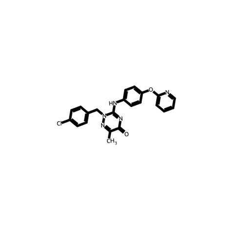 Cc1nn(Cc2ccc(Cl)cc2)c(Nc2ccc(Oc3ccccn3)cc2)nc1=O